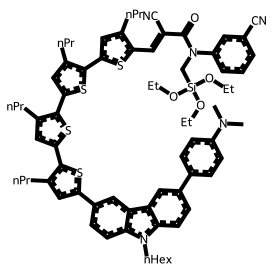 CCCCCCn1c2ccc(-c3ccc(N(C)C)cc3)cc2c2cc(-c3cc(CCC)c(-c4cc(CCC)c(-c5cc(CCC)c(-c6cc(CCC)c(/C=C(\C#N)C(=O)N(C[Si](OCC)(OCC)OCC)c7cccc(C#N)c7)s6)s5)s4)s3)ccc21